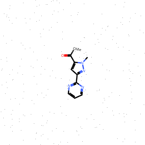 COC(=O)c1cc(-c2ncccn2)nn1C